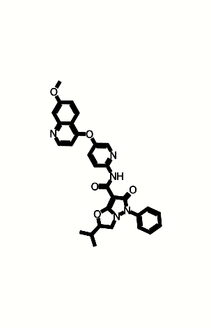 COc1ccc2c(Oc3ccc(NC(=O)c4c5n(n(-c6ccccc6)c4=O)CC(C(C)C)O5)nc3)ccnc2c1